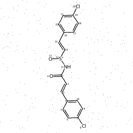 O=C(C=Cc1ccc(Cl)cc1)N[S+]([O-])C=Cc1ccc(Cl)cc1